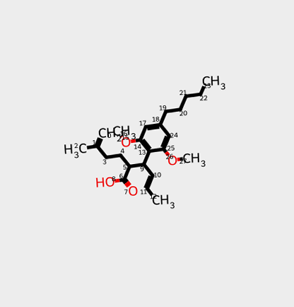 C=C(C)CCC(C(=O)O)C(/C=C/C)c1c(OC)cc(CCCCC)cc1OC